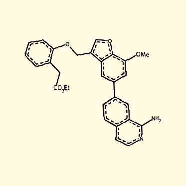 CCOC(=O)Cc1ccccc1OCc1coc2c(OC)cc(-c3ccc4ccnc(N)c4c3)cc12